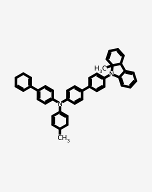 CC1C=CC(N(c2ccc(C3=CCCC=C3)cc2)c2ccc(-c3ccc(N4c5ccccc5C5C=CC=CC54C)cc3)cc2)=CC1